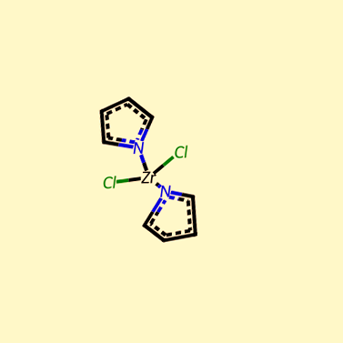 [Cl][Zr]([Cl])([n]1cccc1)[n]1cccc1